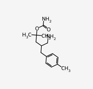 Cc1ccc(CC(CN)CC(C)(C)OC(N)=O)cc1